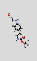 COCCN(C)c1ccc(CCN(C)C(=O)OC(C)(C)C)cc1